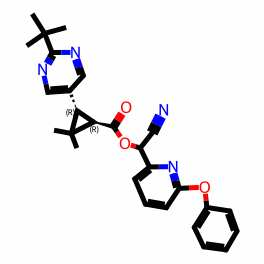 CC(C)(C)c1ncc([C@@H]2[C@@H](C(=O)OC(C#N)c3cccc(Oc4ccccc4)n3)C2(C)C)cn1